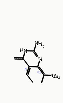 C=C1NC(N)=NC(=C(/C)C(C)(C)C)/C1=C\C